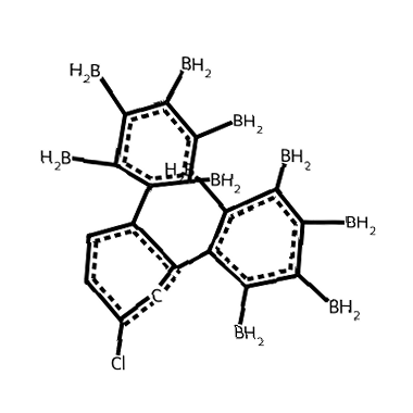 Bc1c(B)c(B)c(-c2ccc(Cl)cc2-c2c(B)c(B)c(B)c(B)c2B)c(B)c1B